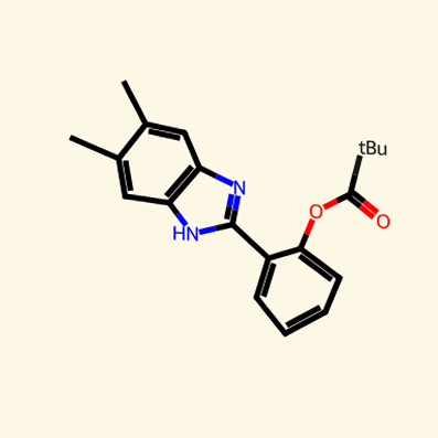 Cc1cc2nc(-c3ccccc3OC(=O)C(C)(C)C)[nH]c2cc1C